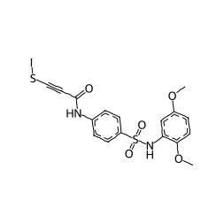 COc1ccc(OC)c(NS(=O)(=O)c2ccc(NC(=O)C#CSI)cc2)c1